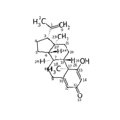 C=C(C)[C@H]1CC[C@H]2[C@@H]3CCC4=CC(=O)C=C(O)[C@]4(C)[C@H]3CC[C@]12C